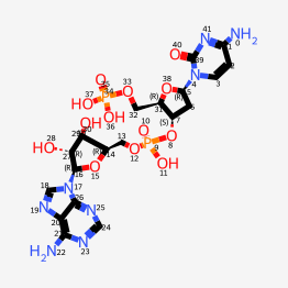 Nc1ccn([C@H]2C[C@H](OP(=O)(O)OC[C@H]3O[C@@H](n4cnc5c(N)ncnc54)[C@H](O)[C@H]3O)[C@@H](COP(=O)(O)O)O2)c(=O)n1